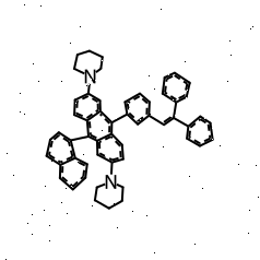 C(=C(c1ccccc1)c1ccccc1)c1cccc(-c2c3cc(N4CCCCC4)ccc3c(-c3cccc4ccccc34)c3cc(N4CCCCC4)ccc23)c1